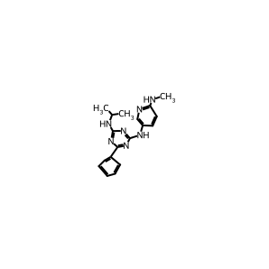 CNc1ccc(Nc2nc(NC(C)C)nc(-c3ccccc3)n2)cn1